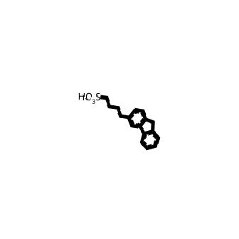 O=S(=O)(O)CCCCc1ccc2c(c1)-c1ccccc1C2